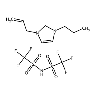 C=CCN1C=CN(CCC)C1.O=S(=O)(NS(=O)(=O)C(F)(F)F)C(F)(F)F